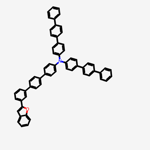 c1ccc(-c2ccc(-c3ccc(N(c4ccc(-c5ccc(-c6ccccc6)cc5)cc4)c4ccc(-c5ccc(-c6cccc(-c7cc8ccccc8o7)c6)cc5)cc4)cc3)cc2)cc1